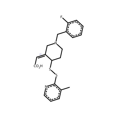 Cc1cccnc1SSC1CCN(Cc2ccccc2F)C/C1=C/C(=O)O